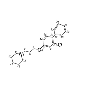 Clc1cc(OCCCN2CCCCC2)ccc1-c1ccccc1